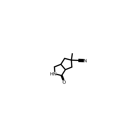 CC1(C#N)CC2CNC(=O)C2C1